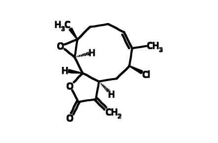 C=C1C(=O)O[C@@H]2[C@H]3O[C@]3(C)CC/C=C(/C)[C@@H](Cl)C[C@@H]12